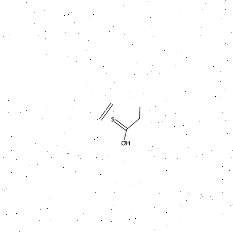 C=C.CCC(O)=S